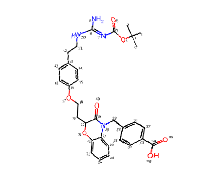 CC(C)(C)OC(=O)N=C(N)NCCc1ccc(OCCC2Oc3ccccc3N(Cc3ccc(C(=O)O)cc3)C2=O)cc1